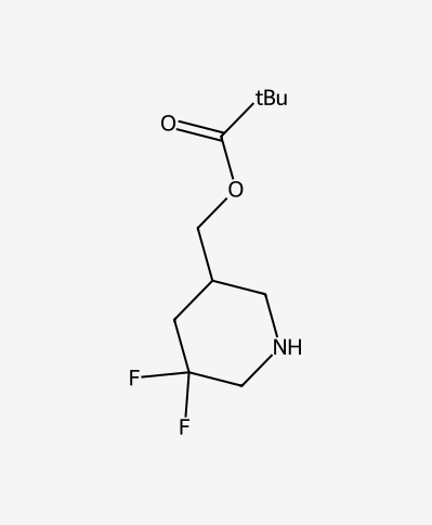 CC(C)(C)C(=O)OCC1CNCC(F)(F)C1